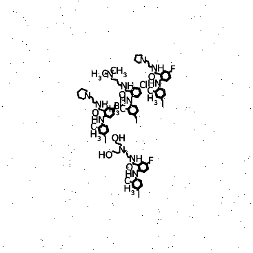 Cc1cc(I)ccc1Nc1ccc(Br)cc1C(=O)NCCN1CCCCC1.Cc1cc(I)ccc1Nc1ccc(Cl)cc1C(=O)NCCCN(C)C.Cc1cc(I)ccc1Nc1ccc(F)cc1C(=O)NCCN(CCO)CCO.Cc1cc(I)ccc1Nc1ccc(F)cc1C(=O)NCCN1CCCC1